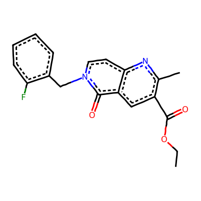 CCOC(=O)c1cc2c(=O)n(Cc3ccccc3F)ccc2nc1C